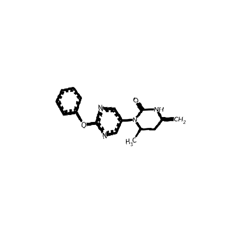 C=C1CC(C)N(c2cnc(Oc3ccccc3)nc2)C(=O)N1